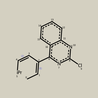 C/C=C(\C=C/C(C)C)c1nc(Cl)nc2ccccc12